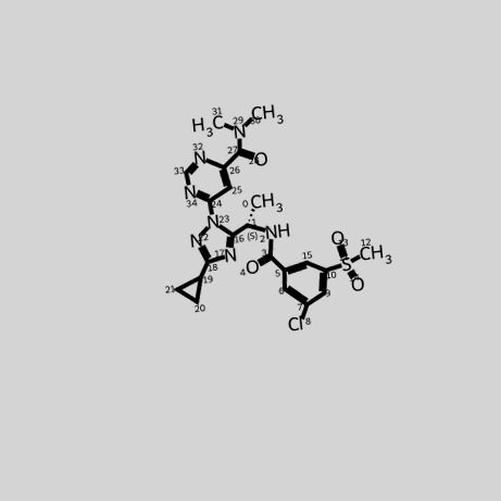 C[C@H](NC(=O)c1cc(Cl)cc(S(C)(=O)=O)c1)c1nc(C2CC2)nn1-c1cc(C(=O)N(C)C)ncn1